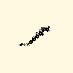 CCCCCC1CCC(C2CCC(c3ccc(-c4cc(F)c(/C=C/C(F)(F)Oc5cc(F)c(F)c(F)c5)c(F)c4)c(F)c3)OC2)CC1